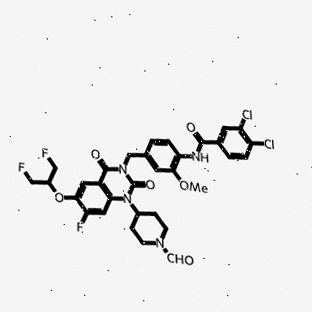 COc1cc(Cn2c(=O)c3cc(OC(CF)CF)c(F)cc3n(C3CCN(C=O)CC3)c2=O)ccc1NC(=O)c1ccc(Cl)c(Cl)c1